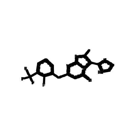 Cc1sc2nc(Cc3cccc(C(F)(F)F)c3F)cc(=O)n2c1-c1ncc[nH]1